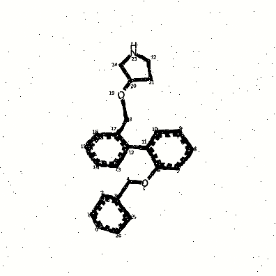 c1ccc(COc2ccccc2-c2ccccc2COC2CCNC2)cc1